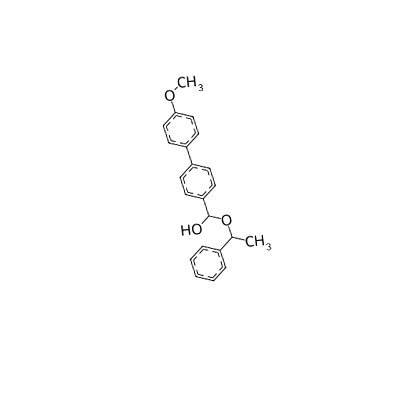 COc1ccc(-c2ccc(C(O)OC(C)c3ccccc3)cc2)cc1